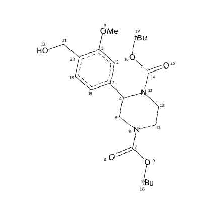 COc1cc(C2CN(C(=O)OC(C)(C)C)CCN2C(=O)OC(C)(C)C)ccc1CO